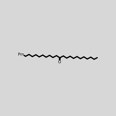 CCCCCCCCCCCC(=O)CCCCCCCCC[CH2][Pm]